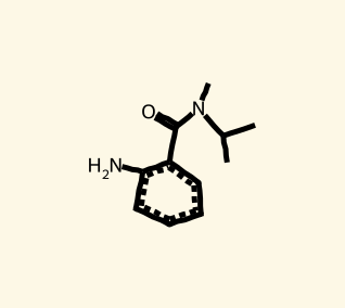 CC(C)N(C)C(=O)c1ccccc1N